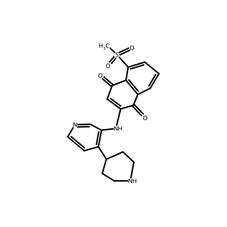 CS(=O)(=O)c1cccc2c1C(=O)C=C(Nc1cnccc1C1CCNCC1)C2=O